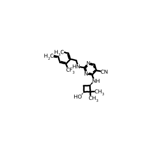 C=C/C=C(\C(=C/C)CNc1ncc(C#N)c(N[C@@H]2C[C@@H](O)C2(C)C)n1)C(F)(F)F